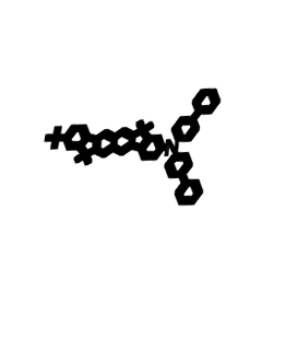 CC(C)(C)c1ccc2c(c1)C(C)(C)c1cc3cc4c(cc3cc1-2)C(C)(C)c1cc(N(c2ccc(-c3ccccc3)cc2)c2ccc(-c3ccccc3)cc2)ccc1-4